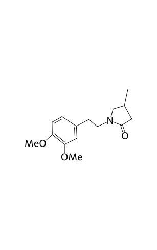 COc1ccc(CCN2CC(C)CC2=O)cc1OC